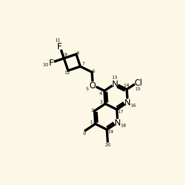 Cc1cc2c(OCC3CC(F)(F)C3)nc(Cl)nc2nc1C